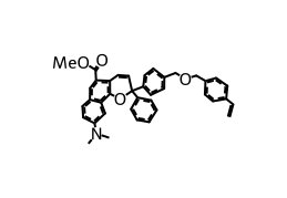 C=Cc1ccc(COCc2ccc(C3(c4ccccc4)C=Cc4c(C(=O)OC)cc5ccc(N(C)C)cc5c4O3)cc2)cc1